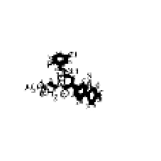 CN(C)CCNC(=O)C(CC(=O)NCc1cc(Cl)ccc1F)c1ccc2c(c1)[nH]c1cc(F)ccc12